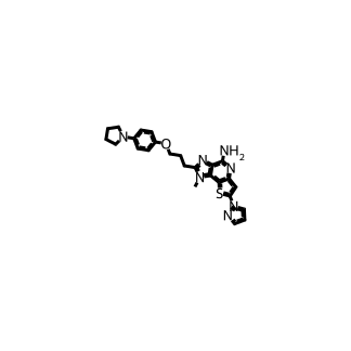 Cn1c(CCCOc2ccc(N3CCCC3)cc2)nc2c(N)nc3cc(-n4cccn4)sc3c21